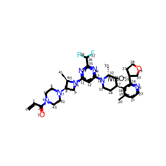 C=CC(=O)N1CCN([C@@H]2CN(c3cc(N4CC[C@H](c5c(C)ccnc5[C@@]5(OC)CCOC5)C[C@H]4C)nc(C(F)F)n3)[C@@H]2C)CC1